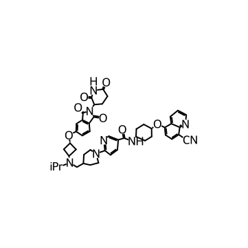 CC(C)N(CC1CCN(c2ccc(C(=O)N[C@H]3CC[C@H](Oc4ccc(C#N)c5ncccc45)CC3)cn2)CC1)[C@H]1C[C@H](Oc2ccc3c(c2)C(=O)N(C2CCC(=O)NC2=O)C3=O)C1